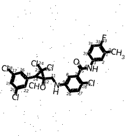 Cc1cc(NC(=O)c2cc(NCC3(C=O)C(c4cc(Cl)cc(Cl)c4)C3(Cl)Cl)ccc2Cl)ccc1F